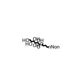 CCCCCCCCCCCCOC(=O)C(O)C(O)C(O)C(O)CO